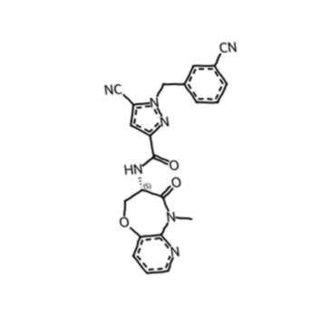 CN1C(=O)[C@@H](NC(=O)c2cc(C#N)n(Cc3cccc(C#N)c3)n2)COc2cccnc21